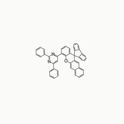 c1ccc(-c2cc(-c3cccc4c3Oc3cc5ccccc5cc3C43c4ccccc4-c4ccccc43)nc(-c3ccccc3)n2)cc1